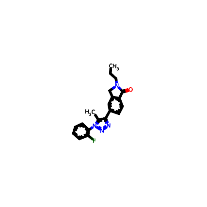 CCCN1Cc2cc(-c3nnn(-c4ccccc4F)c3C)ccc2C1=O